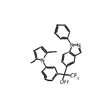 Cc1ccc(C)n1-c1cccc(C(O)(c2ccc3c(cnn3-c3ccccc3)c2)C(F)(F)F)c1